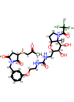 CC(=O)CSC1CC(=O)N(Cc2cccc(OCCNC(=O)NCC3OC4CCN(C(=O)C(F)(F)F)[C@@H]4[C@@H](O)[C@H]3O)c2)C1=O